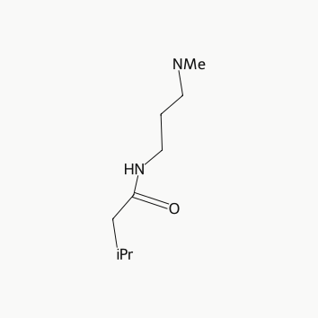 CNCCCNC(=O)CC(C)C